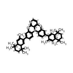 CC1=CC2C(C=C1c1ccc3c(c1)Oc1nccc4c1B3c1ccc(-c3cc5c(cc3C)C(C)(C)CCC5(C)C)cc1O4)C(C)(C)CCC2(C)C